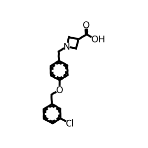 O=C(O)C1CN(Cc2ccc(OCc3cccc(Cl)c3)cc2)C1